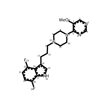 COc1cncnc1N1CCN(CCCc2c[nH]c3c(F)ccc(F)c23)CC1